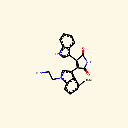 COc1cccc2c1c(C1=C(c3c[nH]c4ccccc34)C(=O)NC1=O)cn2CCN